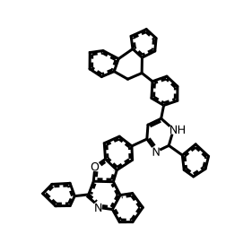 C1=C(c2cccc(C3Cc4ccccc4-c4ccccc43)c2)NC(c2ccccc2)N=C1c1ccc2oc3c(-c4ccccc4)nc4ccccc4c3c2c1